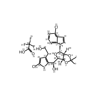 CC1(C)O[C@H]2[C@@H](O1)[C@H](n1ccc3c(Cl)ncnc31)O[C@@H]2[C@@H](O)c1sc(Cl)cc1CCO.O=C(O)C(F)(F)F